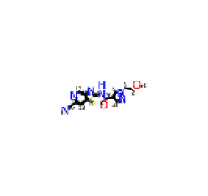 COCCn1cc(C(=O)Nc2nc3cnc(C#N)cc3s2)cn1